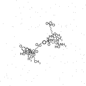 CCCC1O[C@@H]2C[C@H]3[C@@H]4CCC5=CC(=O)C=C[C@]5(C)[C@H]4[C@@H](O)C[C@]3(C)[C@]2(C(=O)COC(=O)CCC(=O)OCc2ccc(NC(=O)[C@H](CCCNC(N)O)NC(=O)[C@@H](NC(=O)CCCCCN3C(=O)C=CC3=O)C(C)C)cc2)O1